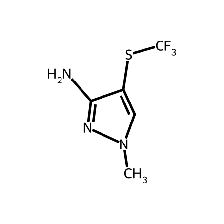 Cn1cc(SC(F)(F)F)c(N)n1